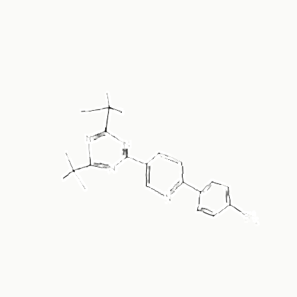 Bc1ccc(-c2ccc(-c3nc(C(C)(C)C)nc(C(C)(C)C)n3)cn2)cc1